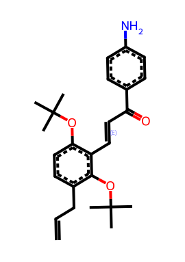 C=CCc1ccc(OC(C)(C)C)c(/C=C/C(=O)c2ccc(N)cc2)c1OC(C)(C)C